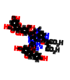 CN(Cc1cnc2nc(N)nc(N)c2n1)c1ccc(C(=O)N[C@@H](CCC(=O)O)C(=O)O)cc1.O=c1c(-c2ccc(O)cc2)coc2cc(O)cc(O)c12.O=c1c(O)c(-c2ccc(O)c(O)c2)oc2cc(O)cc(O)c12